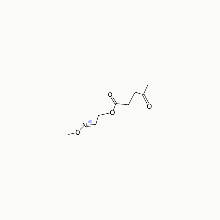 CO/N=C/COC(=O)CCC(C)=O